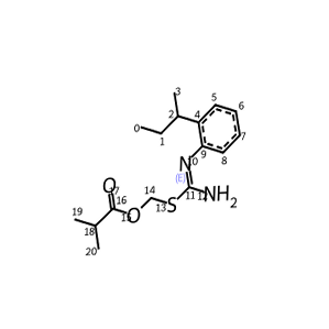 CCC(C)c1ccccc1/N=C(\N)SCOC(=O)C(C)C